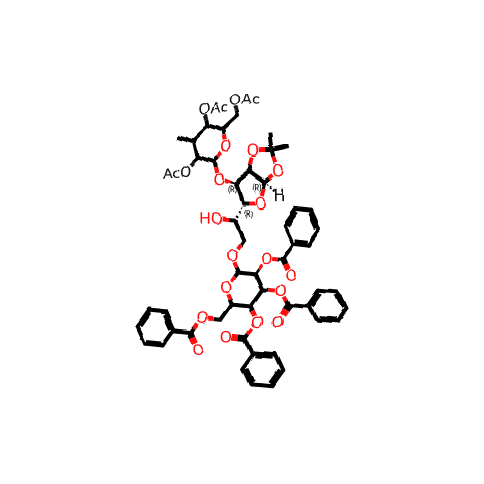 CC(=O)OCC1OC(O[C@H]2C3OC(C)(C)O[C@H]3O[C@@H]2C(O)COC2OC(COC(=O)c3ccccc3)C(OC(=O)c3ccccc3)C(OC(=O)c3ccccc3)C2OC(=O)c2ccccc2)C(OC(C)=O)C(C)C1OC(C)=O